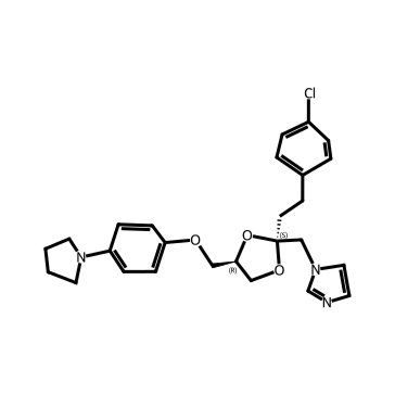 Clc1ccc(CC[C@]2(Cn3ccnc3)OC[C@@H](COc3ccc(N4CCCC4)cc3)O2)cc1